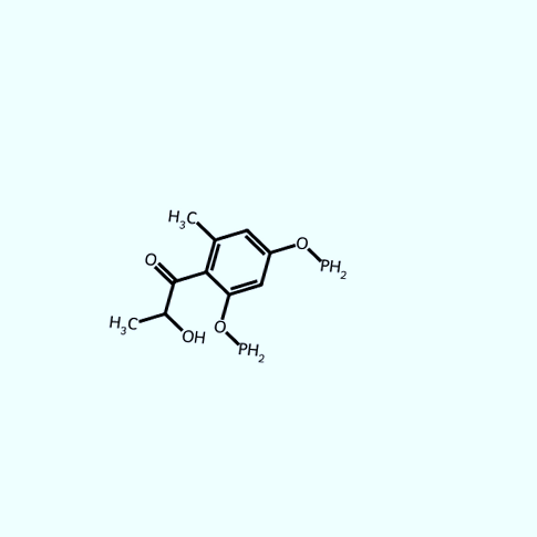 Cc1cc(OP)cc(OP)c1C(=O)C(C)O